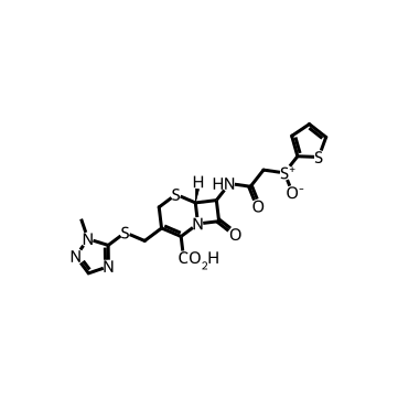 Cn1ncnc1SCC1=C(C(=O)O)N2C(=O)C(NC(=O)C[S+]([O-])c3cccs3)[C@H]2SC1